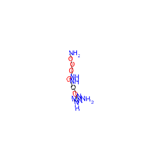 NCCOCCOCCOCCNC(=O)NCc1ccc(COc2nc(N)nc3[nH]cnc23)cc1